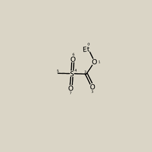 CCOC(=O)S(C)(=O)=O